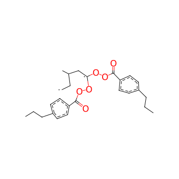 [CH2]CC(C)C[C](OOC(=O)c1ccc(CCC)cc1)OOC(=O)c1ccc(CCC)cc1